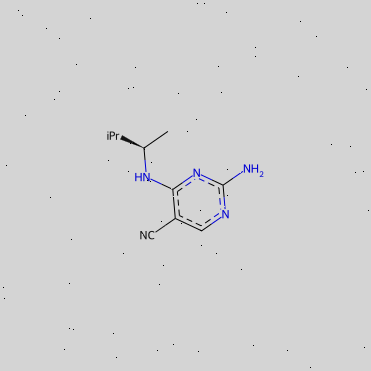 CC(C)[C@@H](C)Nc1nc(N)ncc1C#N